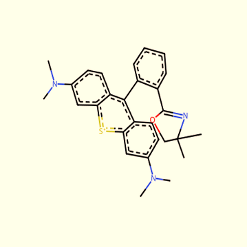 CN(C)c1ccc2c(-c3ccccc3C3=NC(C)(C)CO3)c3ccc(N(C)C)cc3[s+]c2c1